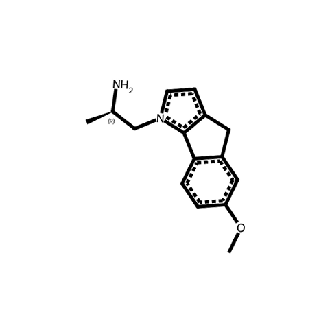 COc1ccc2c(c1)Cc1ccn(C[C@@H](C)N)c1-2